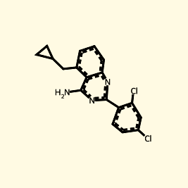 Nc1nc(-c2ccc(Cl)cc2Cl)nc2cccc(CC3CC3)c12